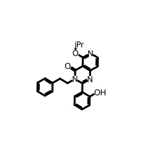 CC(C)Oc1nccc2nc(-c3ccccc3O)n(CCc3ccccc3)c(=O)c12